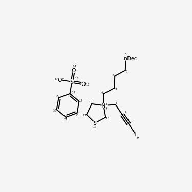 CCCCCCCCCCCCCC[N+]1(CC#CI)CCSC1.O=S(=O)([O-])c1ccccc1